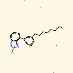 CCCCCCCCc1cccc(-c2cccc3nn(Cl)nc23)c1